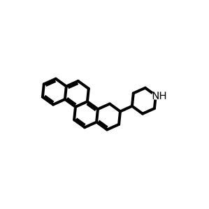 C1=c2ccc3c(c2CC(C2CCNCC2)C1)CC=c1ccccc1=3